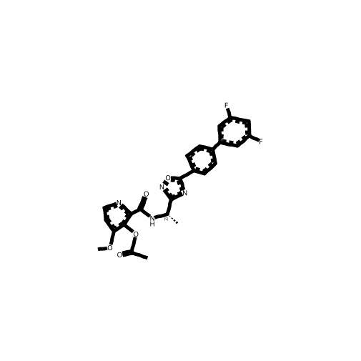 COc1ccnc(C(=O)N[C@@H](C)c2noc(-c3ccc(-c4cc(F)cc(F)c4)cc3)n2)c1OC(C)=O